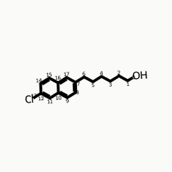 OCCCCCCc1ccc2cc(Cl)ccc2c1